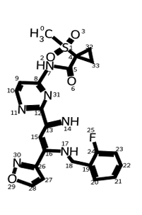 CS(=O)(=O)C1(C(=O)Nc2ccnc(C(=N)/C=C(\NCc3ccccc3F)c3ccon3)n2)CC1